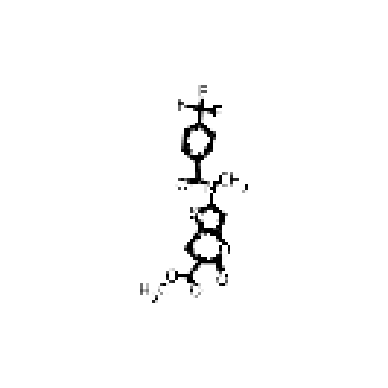 COC(=O)c1cc2sc(N(C)C(=O)c3ccc(C(F)(F)F)cc3)cc2oc1=O